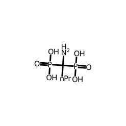 CCCC(N)(P(=O)(O)O)P(=O)(O)O